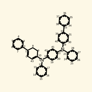 C1=C(c2ccccc2)CCC(N(c2ccccc2)c2ccc(N(c3ccccc3)c3ccc(-c4ccccc4)cc3)cc2)=C1